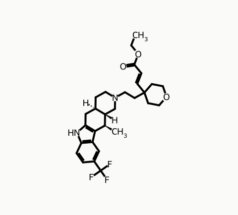 CCOC(=O)/C=C/C1(CCN2CC[C@@H]3Cc4[nH]c5ccc(C(F)(F)F)cc5c4[C@H](C)[C@H]3C2)CCOCC1